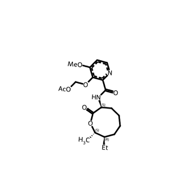 CC[C@@H]1CCCC[C@H](NC(=O)c2nccc(OC)c2OCOC(C)=O)C(=O)O[C@H]1C